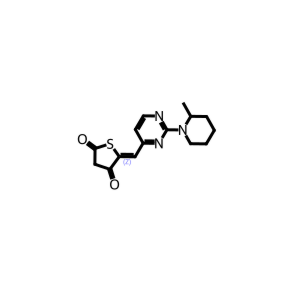 CC1CCCCN1c1nccc(/C=C2\SC(=O)CC2=O)n1